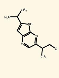 CCC(C)c1cnc2cc(C(C)C)[nH]c2n1